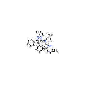 C=C(OC)n1nc(-c2ccccc2)c(-c2ccccc2)c1N(C)C1C=C(/C=C\C)N1